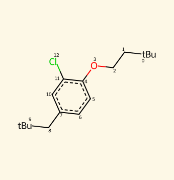 CC(C)(C)CCOc1ccc(CC(C)(C)C)cc1Cl